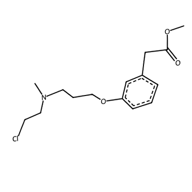 COC(=O)Cc1cccc(OCCCN(C)CCCl)c1